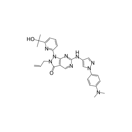 C=CCn1c(=O)c2cnc(Nc3cnn(-c4ccc(N(C)C)cc4)c3)nc2n1-c1cccc(C(C)(C)O)n1